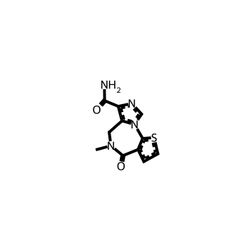 CN1Cc2c(C(N)=O)ncn2-c2sccc2C1=O